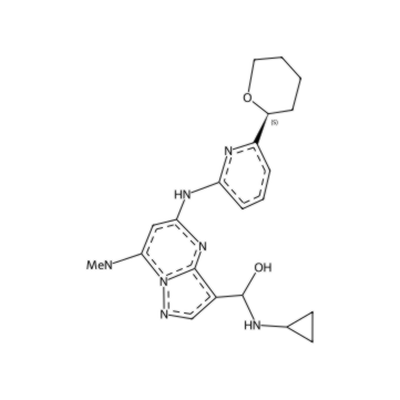 CNc1cc(Nc2cccc([C@@H]3CCCCO3)n2)nc2c(C(O)NC3CC3)cnn12